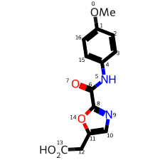 COc1ccc(NC(=O)c2ncc(CC(=O)O)o2)cc1